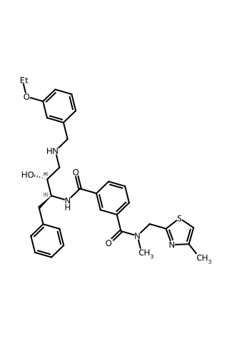 CCOc1cccc(CNC[C@@H](O)[C@H](Cc2ccccc2)NC(=O)c2cccc(C(=O)N(C)Cc3nc(C)cs3)c2)c1